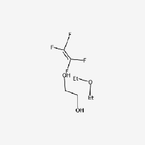 CCOCC.FC(F)=C(F)F.OCCO